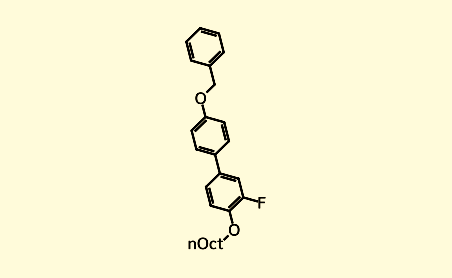 CCCCCCCCOc1ccc(-c2ccc(OCc3ccccc3)cc2)cc1F